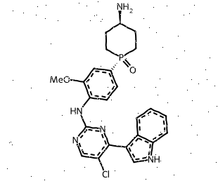 COc1cc([P@]2(=O)CC[C@@H](N)CC2)ccc1Nc1ncc(Cl)c(-c2c[nH]c3ccccc23)n1